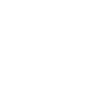 CSc1ccc(C(C)C(=O)O)cc1Cl